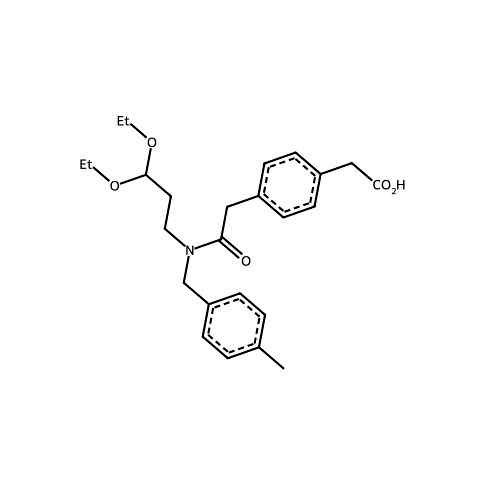 CCOC(CCN(Cc1ccc(C)cc1)C(=O)Cc1ccc(CC(=O)O)cc1)OCC